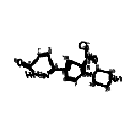 O=C1CCC(c2ccc(N3CCNCC3)c([N+](=O)[O-])c2)=NN1